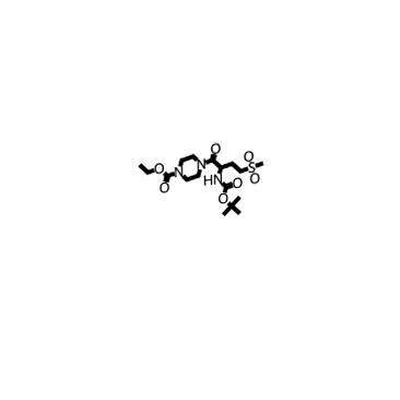 CCOC(=O)N1CCN(C(=O)C(CCS(C)(=O)=O)NC(=O)OC(C)(C)C)CC1